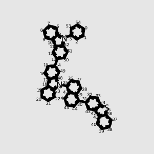 c1ccc(-n2c3ccccc3c3cc(-c4ccc5c6ccccc6n(-c6cccc7c(-c8ccc9sc%10ccccc%10c9c8)cccc67)c5c4)ccc32)cc1